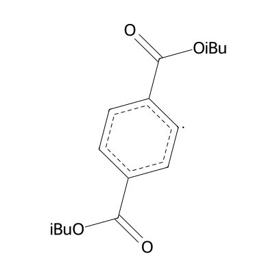 CC(C)COC(=O)c1[c]cc(C(=O)OCC(C)C)cc1